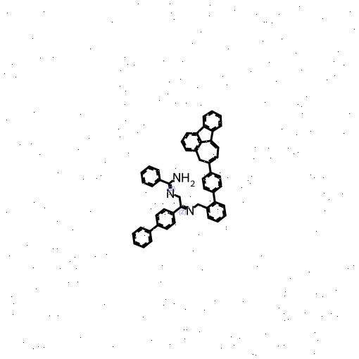 N/C(=N\C/C(=N\Cc1ccccc1-c1ccc(C2=CC=C3c4ccccc4-c4cccc(c43)C2)cc1)c1ccc(-c2ccccc2)cc1)c1ccccc1